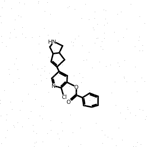 O=C(Oc1cc(C2=CC3CNCC3C2)cnc1Cl)c1ccccc1